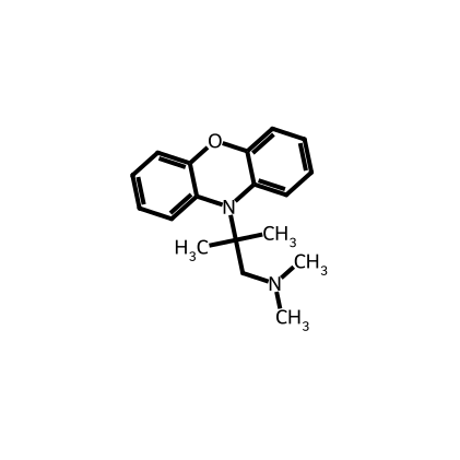 CN(C)CC(C)(C)N1c2ccccc2Oc2ccccc21